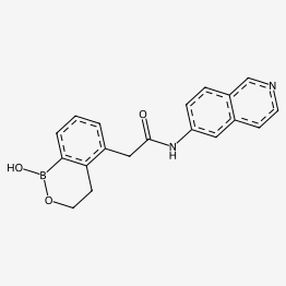 O=C(Cc1cccc2c1CCOB2O)Nc1ccc2cnccc2c1